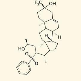 C[C@H](O)CC([C@@H](C)[C@H]1CC[C@H]2[C@@H]3CC=C4C[C@](O)(C(F)(F)F)CC[C@]4(C)C3CC[C@]12C)S(=O)(=O)c1ccccc1